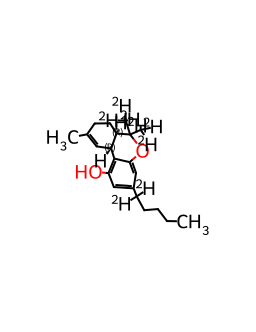 [2H]C([2H])(CCCC)c1cc(O)c2c(c1)OC(C([2H])([2H])[2H])(C([2H])([2H])[2H])[C@@H]1CCC(C)=C[C@@H]21